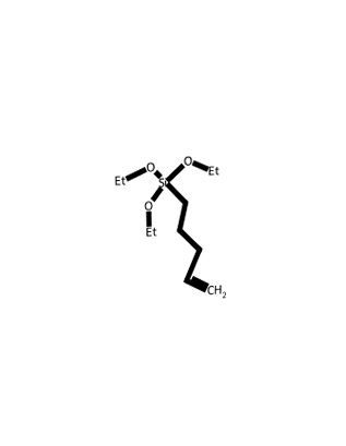 C=CCCC[Si](OCC)(OCC)OCC